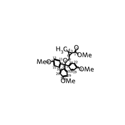 COC(=O)C1C(C)C1COC(c1ccc(OC)cc1)(c1ccc(OC)cc1)c1ccc(OC)cc1